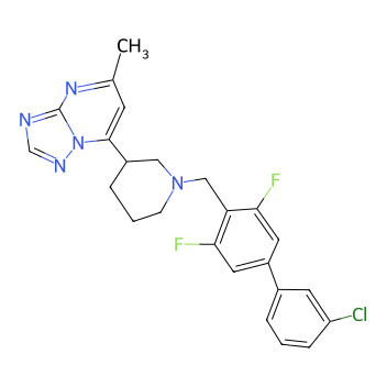 Cc1cc(C2CCCN(Cc3c(F)cc(-c4cccc(Cl)c4)cc3F)C2)n2ncnc2n1